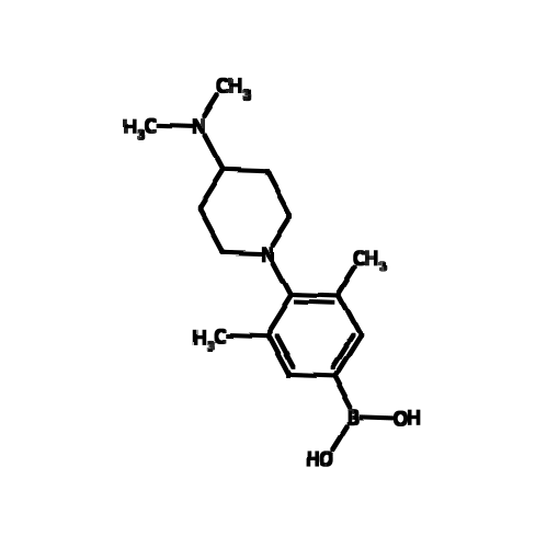 Cc1cc(B(O)O)cc(C)c1N1CCC(N(C)C)CC1